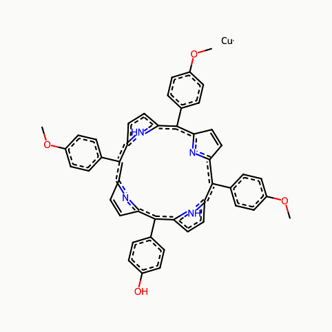 COc1ccc(-c2c3nc(c(-c4ccc(OC)cc4)c4ccc([nH]4)c(-c4ccc(OC)cc4)c4nc(c(-c5ccc(O)cc5)c5ccc2[nH]5)C=C4)C=C3)cc1.[Cu]